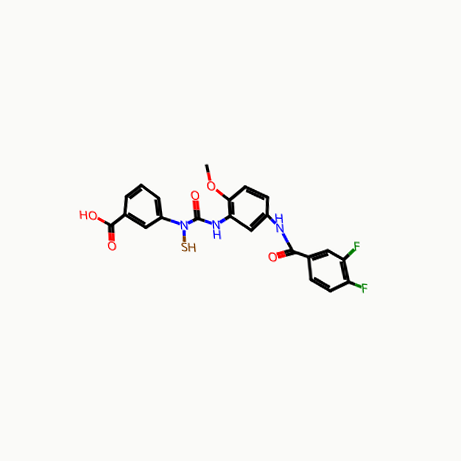 COc1ccc(NC(=O)c2ccc(F)c(F)c2)cc1NC(=O)N(S)c1cccc(C(=O)O)c1